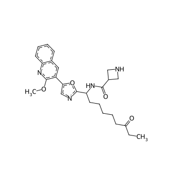 CCC(=O)CCCCCC(NC(=O)C1CNC1)c1ncc(-c2cc3ccccc3nc2OC)o1